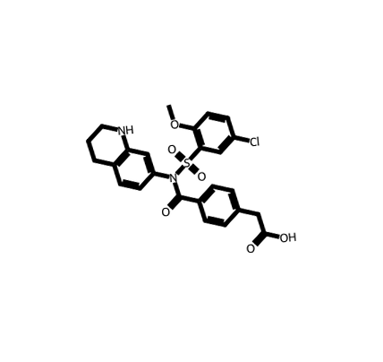 COc1ccc(Cl)cc1S(=O)(=O)N(C(=O)c1ccc(CC(=O)O)cc1)c1ccc2c(c1)NCCC2